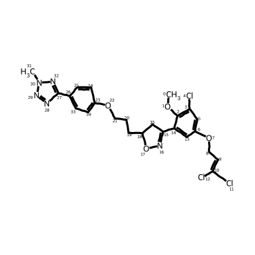 COc1c(Cl)cc(OCC=C(Cl)Cl)cc1C1=NOC(CCCOc2ccc(-c3nnn(C)n3)cc2)C1